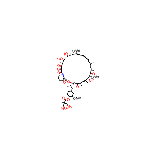 CO[C@H]1CC(O)CC(O)[C@@H](C)C(=O)C(=O)C(=O)N2CCCC[C@H]2C(=O)O[C@H](C(C)C[C@@H]2CC[C@@H](OC(=O)C(C)(CO)CO)[C@H](OC)C2)CC(=O)[C@H](C)/C=C(\C)[C@@H](O)[C@@H](OC)C(=O)[C@H](C)C[C@H](C)/C=C/C=C/C=C/1C